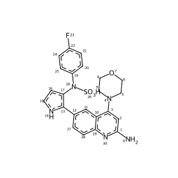 Nc1cc(N2CCOCC2)c2cc(-c3[nH][c]cc3N(c3ccc(F)cc3)S(=O)(=O)O)ccc2n1